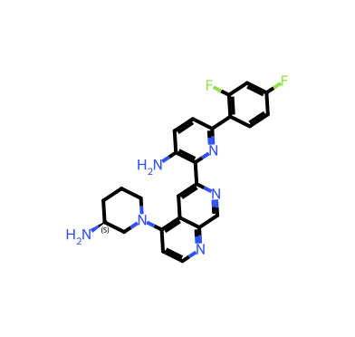 Nc1ccc(-c2ccc(F)cc2F)nc1-c1cc2c(N3CCC[C@H](N)C3)ccnc2cn1